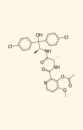 COc1ccnc(C(=O)N[C@@H](C)C(=O)N[C@@H](C)C(O)(c2ccc(Cl)cc2)c2ccc(Cl)cc2)c1OC(C)=O